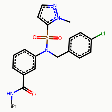 CC(C)NC(=O)c1cccc(N(Cc2ccc(Cl)cc2)S(=O)(=O)c2ccnn2C)c1